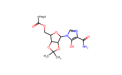 CCCCCCCC(=O)OCC1OC(n2cnc(C(N)=O)c2O)C2OC(C)(C)OC12